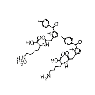 Cc1ccc(C(=O)c2ccc(CC(=O)NC(CCCCN)C(=O)O)n2C)cc1.Cc1ccc(C(=O)c2ccc(CC(=O)NC(CCCCN)C(=O)O)n2C)cc1.O